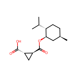 CC(C)[C@@H]1CC[C@@H](C)C[C@H]1OC(=O)[C@H]1C[C@@H]1C(=O)O